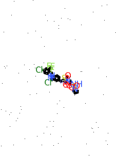 O=C(CN1C(=O)S/C(=C\c2ccc3c(c2)c(Cl)nn3Cc2ccc(Cl)cc2C(F)(F)F)C1=O)NS(=O)(=O)N1CCCC1